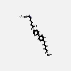 CCCCC/C=C\CCCC(=O)Oc1ccc(-c2ccc(CCCCCOCCC)cc2)nc1